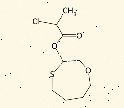 CC(Cl)C(=O)OC1COCCCCS1